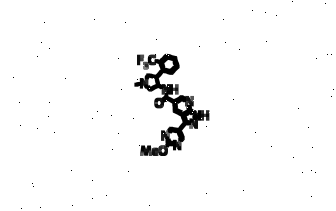 COc1ncc(-c2n[nH]c3ncc(C(=O)NC4CN(C)CC4c4ccccc4C(F)(F)F)cc23)cn1